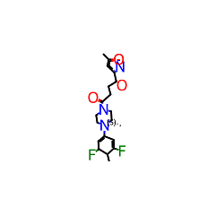 Cc1cc(C(=O)CCC(=O)N2CCN(C3=CC(F)C(C)C(F)=C3)[C@@H](C)C2)no1